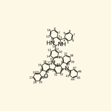 C1=CC2=C(c3ccccc3)NC(c3ccc(-n4c5ccc6c7ccccc7oc6c5c5ccc6c(c7ccccc7n6-c6ccccc6)c54)cc3)NC2C=C1